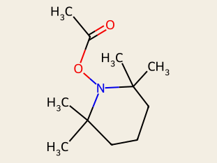 CC(=O)ON1C(C)(C)CCCC1(C)C